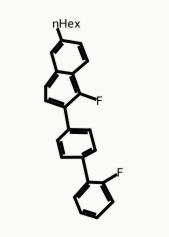 CCCCCCc1ccc2c(F)c(-c3ccc(-c4ccccc4F)cc3)ccc2c1